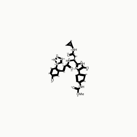 COC(=O)Nc1ccc(-c2nc([C@H](CC(=O)NC3CC3)NC(=O)C=Cc3cc(Cl)ccc3-n3cnnn3)[nH]c2Cl)cc1